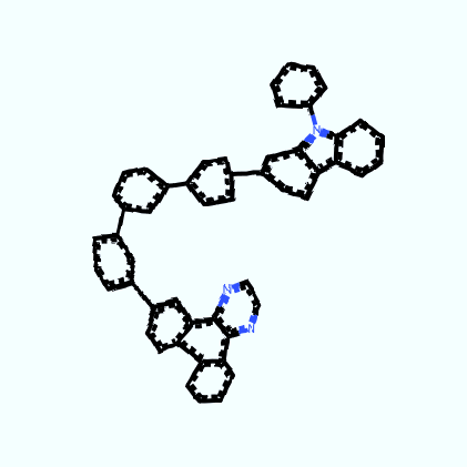 c1ccc(-n2c3ccccc3c3ccc(-c4ccc(-c5cccc(-c6cccc(-c7ccc8c9ccccc9c9nccnc9c8c7)c6)c5)cc4)cc32)cc1